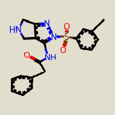 Cc1cccc(S(=O)(=O)n2nc3c(c2NC(=O)Cc2ccccc2)CNC3)c1